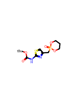 CC(C)(C)OC(=O)Nc1nc(CP2(=O)OCCCO2)cs1